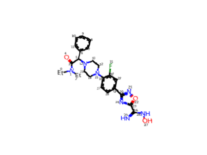 CCN(CC)C(=O)C(c1ccccc1)N1CCN(c2ccc(-c3noc(C(=N)NO)n3)cc2F)CC1